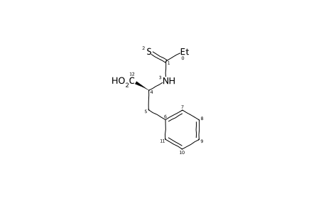 CCC(=S)N[C@@H](Cc1ccccc1)C(=O)O